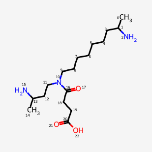 CC(N)CCCCCCCN(CCC(C)N)C(=O)CCC(=O)O